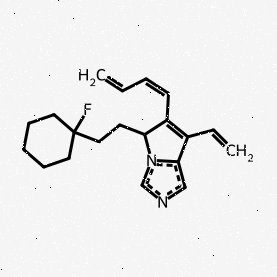 C=C/C=C\C1=C(C=C)c2cncn2C1CCC1(F)CCCCC1